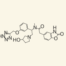 CN(C(=O)Cc1ccc2oc(=O)[nH]c2c1)C(CN1CCC(O)C1)c1cccc(OCc2nn[nH]n2)c1